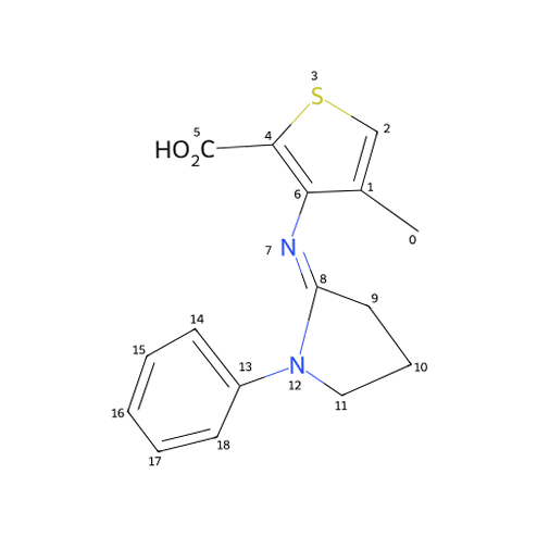 Cc1csc(C(=O)O)c1N=C1CCCN1c1ccccc1